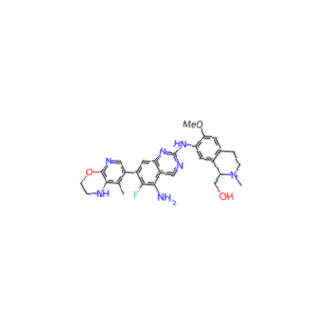 COc1cc2c(cc1Nc1ncc3c(N)c(F)c(-c4cnc5c(c4C)NCCO5)cc3n1)C(CO)N(C)CC2